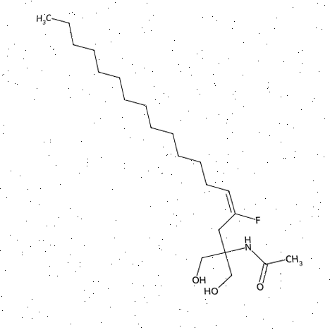 CCCCCCCCCCCCC/C=C(/F)CC(CO)(CO)NC(C)=O